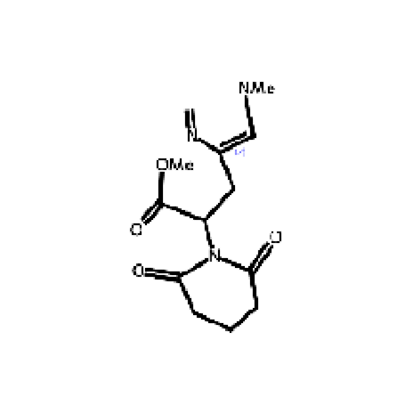 C=N/C(=C\NC)CC(C(=O)OC)N1C(=O)CCCC1=O